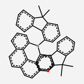 CC1(C)c2ccccc2-c2c(N(c3cccc4c3-c3ccccc3C4(C)C)c3cccc4ccc5ccc6ccccc6c5c34)cccc21